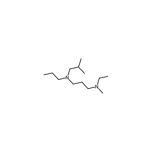 CCCN(CCCN(C)CC)CC(C)C